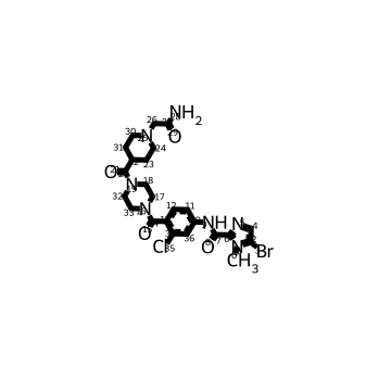 Cn1c(Br)cnc1C(=O)Nc1ccc(C(=O)N2CCN(C(=O)C3CCN(CC(N)=O)CC3)CC2)c(Cl)c1